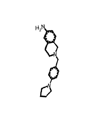 Nc1ccc2c(c1)CCN(Cc1ccc(N3CCCC3)cc1)C2